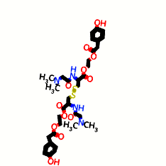 CN(C)CC(=O)NC(CSSCC(NC(=O)CN(C)C)C(=O)OCCOC(=O)Cc1ccc(O)cc1)C(=O)OCCOC(=O)Cc1ccc(O)cc1